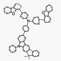 CC1(C)c2ccccc2-c2cc3c4cc(-c5ccc(N(c6ccc(C7=c8oc9ccccc9c8=CCC7)cc6)c6ccc(-c7cccc8c7oc7ccccc78)cc6)cc5)ccc4n(-c4ccccc4)c3cc21